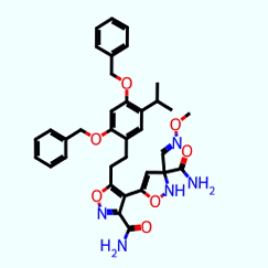 CON=CC1(C(N)=O)C=C(c2c(C(N)=O)noc2CCc2cc(C(C)C)c(OCc3ccccc3)cc2OCc2ccccc2)ON1